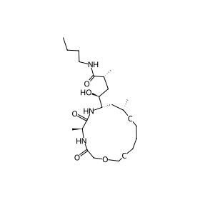 CCCCNC(=O)[C@H](C)C[C@H](O)[C@@H]1C[C@H](C)CCCCCCOCC(=O)N[C@@H](C)C(=O)N1